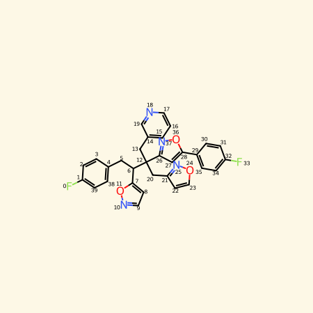 Fc1ccc(CC(c2ccno2)C(Cc2cccnc2)(Cc2ccon2)c2cc(-c3ccc(F)cc3)on2)cc1